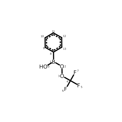 OB(OOC(F)(F)F)c1ccccc1